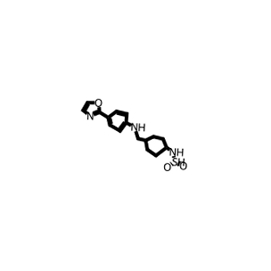 O=[SH](=O)NC1CCC(CNc2ccc(-c3ncco3)cc2)CC1